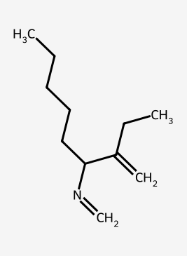 C=NC(CCCCC)C(=C)CC